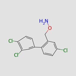 NOCc1cc(Cl)ccc1-c1ccc(Cl)c(Cl)c1